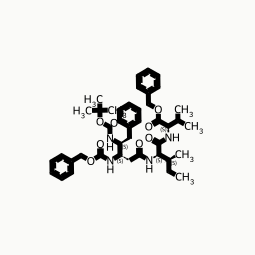 CC[C@H](C)[C@H](NC(=O)C[C@H](NC(=O)OCc1ccccc1)[C@H](Cc1ccccc1)NC(=O)OC(C)(C)C)C(=O)N[C@H](C(=O)OCc1ccccc1)C(C)C